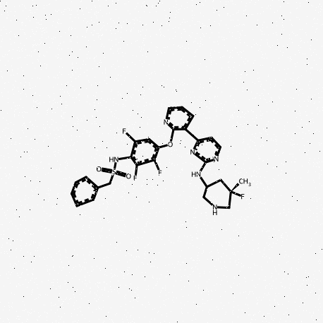 C[C@@]1(F)CNCC(Nc2nccc(-c3cccnc3Oc3cc(F)c(NS(=O)(=O)Cc4ccccc4)c(F)c3F)n2)C1